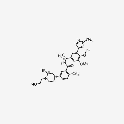 CC[C@H]1CN(c2ccc(C)c(C(=O)N[C@H](C)c3cc(OC)c(OC(C)C)c(-c4cnn(C)c4)c3)c2)CCN1CCO